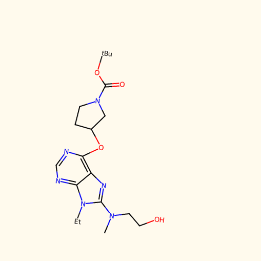 CCn1c(N(C)CCO)nc2c(OC3CCN(C(=O)OC(C)(C)C)C3)ncnc21